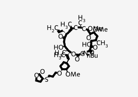 C=CC[C@@H]1/C=C(\C)C[C@H](C)C[C@H](OC)C2O[C@@](O)(C(=O)C(=O)N(CCCC)CC(=O)O[C@H](/C(C)=C/[C@@H]3CC[C@@H](OCCCS[C@@H]4CCOC4=O)[C@H](OC)C3)[C@H](C)[C@@H](O)CC1=O)[C@H](C)C[C@@H]2OC